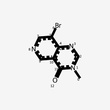 Cn1cnc2c(Br)cncc2c1=O